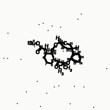 CC(C)(C)OC(=O)NC1CCCN2C(=O)C(C)(C)Oc3ccccc3[C@H]3CC[C@H](CC3)OC[C@@H]12